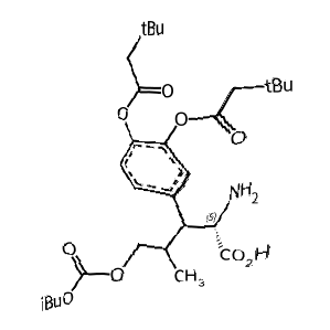 CC(C)COC(=O)OCC(C)C(c1ccc(OC(=O)CC(C)(C)C)c(OC(=O)CC(C)(C)C)c1)[C@H](N)C(=O)O